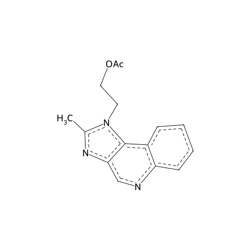 CC(=O)OCCn1c(C)nc2cnc3ccccc3c21